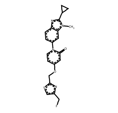 Cn1c(C2CC2)nc2ccc(-n3ccc(OCc4nc(CF)cs4)cc3=O)cc21